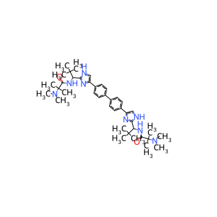 CN(C)C(C)(C)C(=O)NC(c1nc(-c2ccc(-c3ccc(-c4c[nH]c(C(NC(=O)C(C)(C)N(C)C)C(C)(C)C)n4)cc3)cc2)c[nH]1)C(C)(C)C